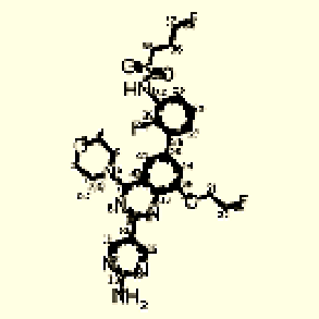 C[C@@H]1COCCN1c1nc(-c2cnc(N)nc2)nc2c(OCCF)cc(-c3cccc(NS(=O)(=O)CCCF)c3F)cc12